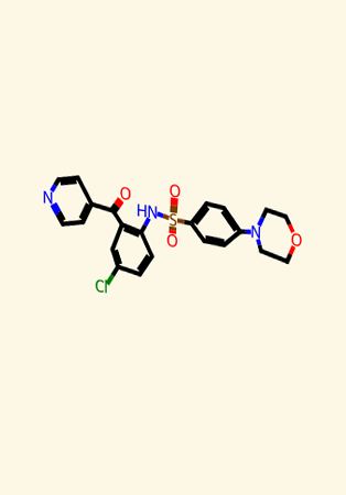 O=C(c1ccncc1)c1cc(Cl)ccc1NS(=O)(=O)c1ccc(N2CCOCC2)cc1